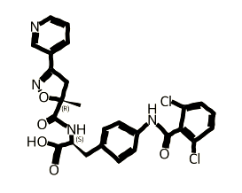 C[C@]1(C(=O)N[C@@H](Cc2ccc(NC(=O)c3c(Cl)cccc3Cl)cc2)C(=O)O)CC(c2cccnc2)=NO1